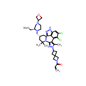 C=CC(=O)N1CC2(CC(n3nc(N4CC[C@@H](CN5CCN(C6COC6)C[C@@H]5COC)CC4(C)C)c(-c4c(Cl)c(Cl)cc5[nH]ncc45)c3C)C2)C1